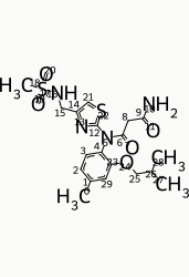 Cc1ccc(N(C(=O)CC(N)=O)c2nc(CNS(C)(=O)=O)cs2)c(OCC(C)C)c1